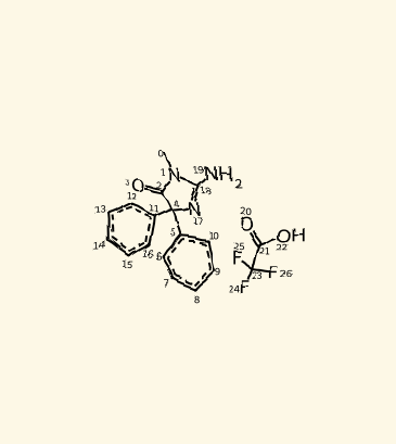 CN1C(=O)C(c2ccccc2)(c2ccccc2)N=C1N.O=C(O)C(F)(F)F